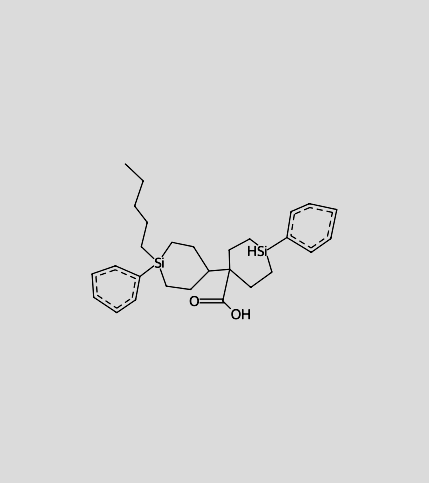 CCCCC[Si]1(c2ccccc2)CCC(C2(C(=O)O)CC[SiH](c3ccccc3)CC2)CC1